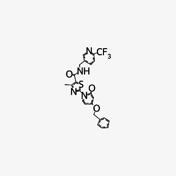 Cc1nc(-n2ccc(OCc3ccccc3)cc2=O)sc1C(=O)NCc1ccc(C(F)(F)F)nc1